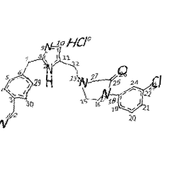 Cl.N#Cc1ccc(Cc2ncc(CCN3CCN(c4cccc(Cl)c4)C(=O)C3)[nH]2)cc1